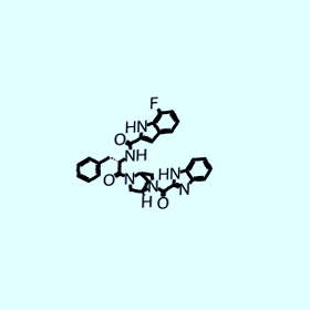 O=C(N[C@@H](Cc1ccccc1)C(=O)N1C[C@@H]2CC1CN2C(=O)c1nc2ccccc2[nH]1)c1cc2cccc(F)c2[nH]1